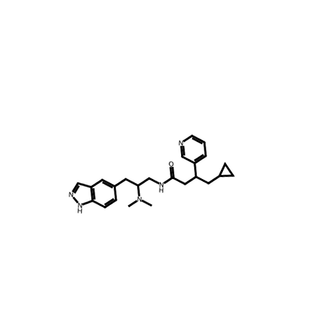 CN(C)C(CNC(=O)CC(CC1CC1)c1cccnc1)Cc1ccc2[nH]ncc2c1